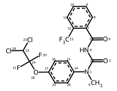 CN(C(=O)NC(=O)c1ccccc1C(F)(F)F)c1ccc(OC(F)(F)C(Cl)Cl)cc1